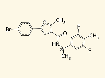 Cc1oc(-c2ccc(Br)cc2)cc1C(=O)N[C@H](C)c1cc(F)c(C)c(F)c1